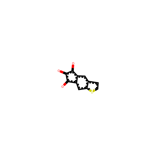 O=c1c(=O)c2cc3ccsc3cc2c1=O